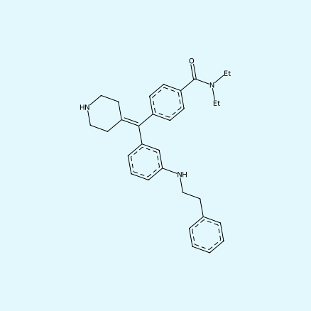 CCN(CC)C(=O)c1ccc(C(=C2CCNCC2)c2cccc(NCCc3ccccc3)c2)cc1